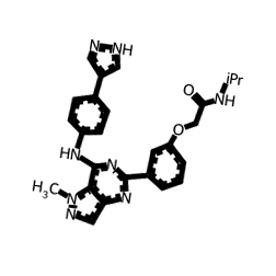 CC(C)NC(=O)COc1cccc(-c2nc(Nc3ccc(-c4cn[nH]c4)cc3)c3c(cnn3C)n2)c1